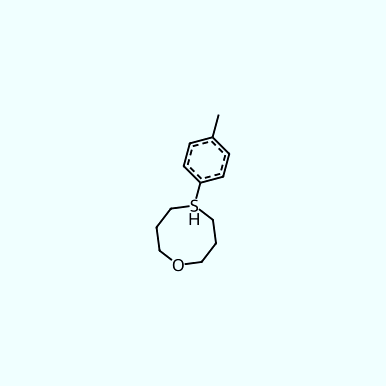 Cc1ccc([SH]2CCCOCCC2)cc1